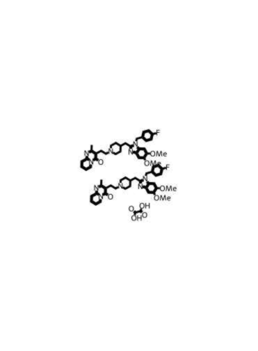 COc1cc2nc(CC3CCN(CCc4c(C)nc5ccccn5c4=O)CC3)n(Cc3ccc(F)cc3)c2cc1OC.COc1cc2nc(CC3CCN(CCc4c(C)nc5ccccn5c4=O)CC3)n(Cc3ccc(F)cc3)c2cc1OC.O=C(O)C(=O)O